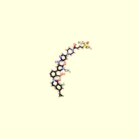 Cn1cc(-c2cccc(-n3ccc4cc(C5CC5)cc(F)c4c3=O)c2CO)cc(Nc2ccc(N3CCN(C(=O)CCC[SH](C)(C)=O)CC3)cn2)c1=O